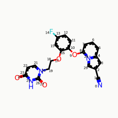 N#Cc1cc2cccc(Oc3ccc(F)cc3OCCn3ccc(=O)[nH]c3=O)n2c1